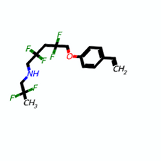 C=Cc1ccc(OCC(F)(F)CC(F)(F)CNCC(C)(F)F)cc1